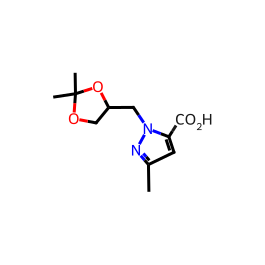 Cc1cc(C(=O)O)n(CC2COC(C)(C)O2)n1